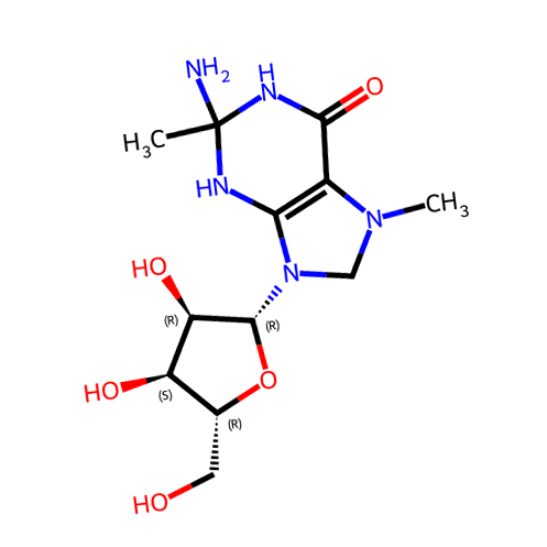 CN1CN([C@@H]2O[C@H](CO)[C@@H](O)[C@H]2O)C2=C1C(=O)NC(C)(N)N2